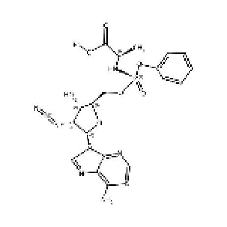 CC(C)OC(=O)[C@@H](C)N[P@@](=O)(OC[C@H]1O[C@@H](n2cnc3c(N)ncnc32)[C@H](N=[N+]=[N-])[C@@H]1O)Oc1ccccc1